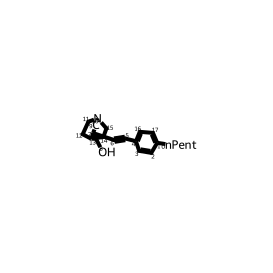 CCCCCc1ccc(C#CC2(O)CN3CCC2CC3)cc1